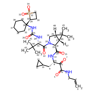 C=CCNC(=O)C(=O)[C@H](CC1CC1)NC(=O)[C@@H]1[C@@H]2[C@H](CN1C(=O)[C@@H](NC(=O)NC1([C@@H]3CCS3(=O)=O)CCCCC1)C(C)(C)C)C2(C)C